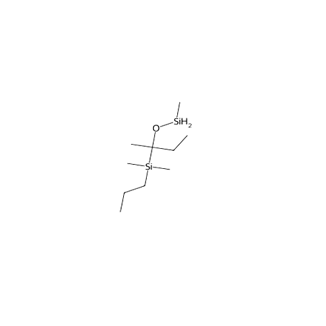 CCC[Si](C)(C)C(C)(CC)O[SiH2]C